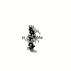 COCOc1c(-c2nc(C)c(C(=O)NC3CCN(C(=O)OC(C)(C)C)C4(CC4)C3)c(C)n2)cc2cn(C)nc2c1C